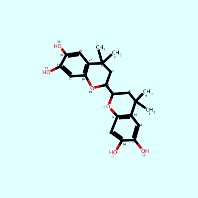 CC1(C)CC(C2CC(C)(C)c3cc(O)c(O)cc3O2)Oc2cc(O)c(O)cc21